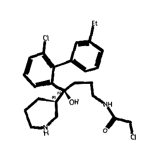 CCc1cccc(-c2c(Cl)cccc2[C@](O)(CCCNC(=O)CCl)[C@@H]2CCCNC2)c1